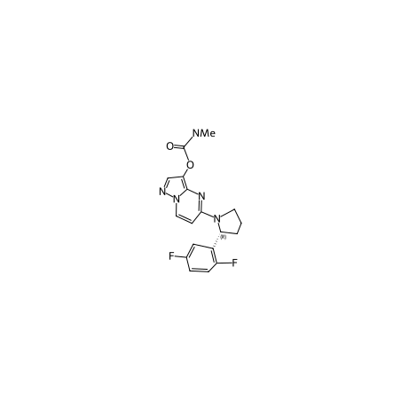 CNC(=O)Oc1cnn2ccc(N3CCC[C@@H]3c3cc(F)ccc3F)nc12